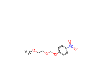 COCCOCOc1ccc([N+](=O)[O-])cc1